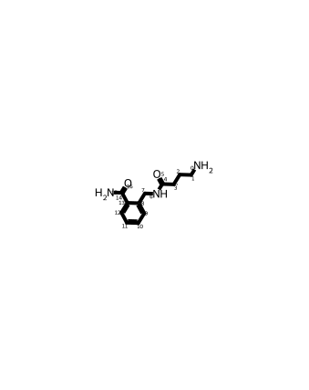 NCC[CH]C(=O)NCc1ccccc1C(N)=O